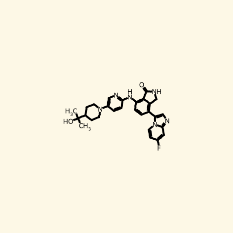 CC(C)(O)C1CCN(c2ccc(Nc3ccc(-c4cnc5cc(F)ccn45)c4c3C(=O)NC4)nc2)CC1